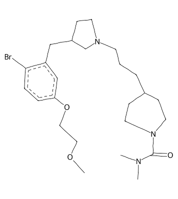 COCCOc1ccc(Br)c(CC2CCN(CCCC3CCN(C(=O)N(C)C)CC3)C2)c1